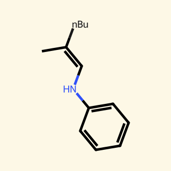 CCCCC(C)=CNc1ccccc1